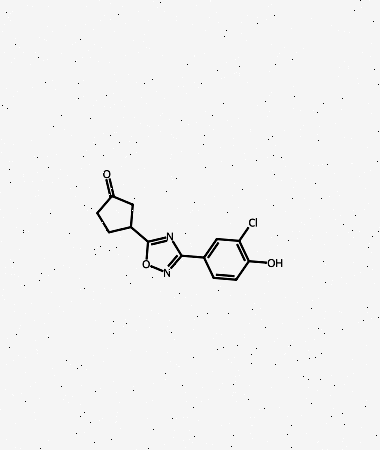 O=C1CCC(c2nc(-c3ccc(O)c(Cl)c3)no2)C1